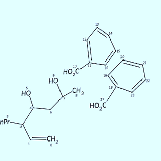 C=CC(CCC)C(O)CC(C)O.O=C(O)c1ccccc1.O=C(O)c1ccccc1